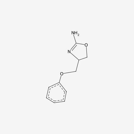 NC1=NC(COc2ccccc2)CO1